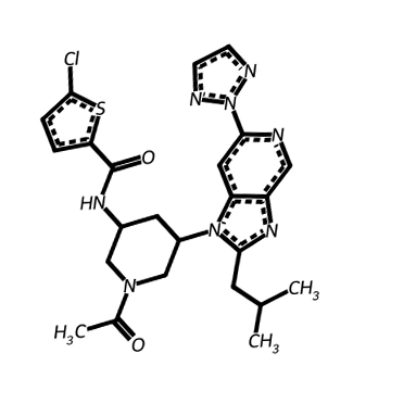 CC(=O)N1CC(NC(=O)c2ccc(Cl)s2)CC(n2c(CC(C)C)nc3cnc(-n4nccn4)cc32)C1